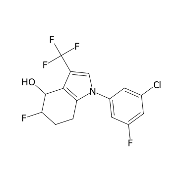 OC1c2c(C(F)(F)F)cn(-c3cc(F)cc(Cl)c3)c2CCC1F